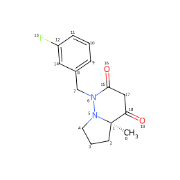 C[C@]12CCCN1N(Cc1cccc(F)c1)C(=O)CC2=O